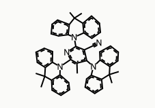 Cc1c(N2c3ccccc3C(C)(C)c3ccccc32)nc(N2c3ccccc3C(C)(C)c3ccccc32)c(C#N)c1N1c2ccccc2C(C)(C)c2ccccc21